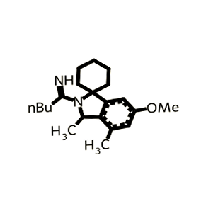 CCCCC(=N)N1C(C)c2c(C)cc(OC)cc2C12CCCCC2